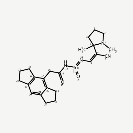 CN1CCCC1(C)/C(C#N)=C\N=[SH](=O)\NC(=O)Cc1c2c(cc3c1CCC3)CCC2